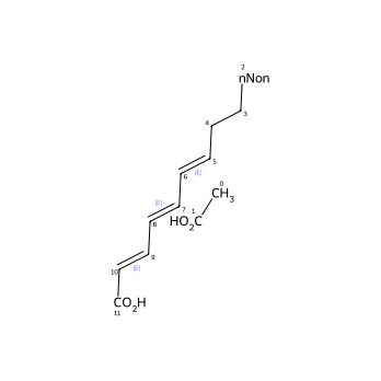 CC(=O)O.CCCCCCCCCCC/C=C/C=C/C=C/C(=O)O